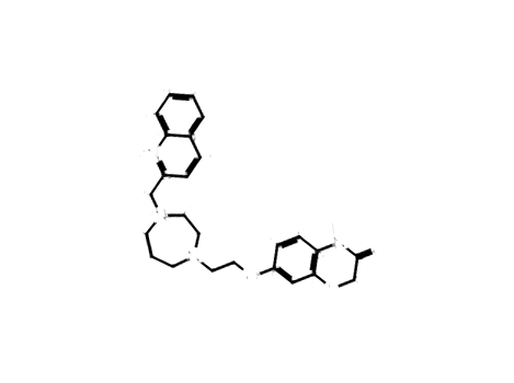 O=C1CSc2cc(OCCN3CCCN(Cc4ccc5ccccc5n4)CC3)ccc2N1